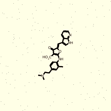 Cc1cc(CCN(C)C)ccc1NC1=C(C(=O)O)C(=O)/C(=C/c2c[nH]c3ncccc23)O1